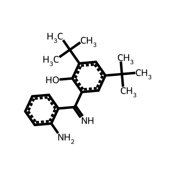 CC(C)(C)c1cc(C(=N)c2ccccc2N)c(O)c(C(C)(C)C)c1